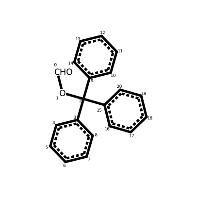 O=COC(c1ccccc1)(c1ccccc1)c1ccccc1